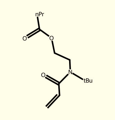 C=CC(=O)N(CCOC(=O)CCC)C(C)(C)C